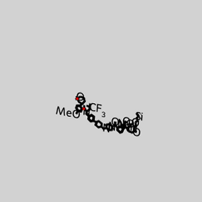 COc1ccc([C@]2(CCN(Cc3ccc(C4=CCC(CN5CCN(C(=O)c6cccc7c6n(C)c(=O)n7C6CCC(=O)N(COCC[Si](C)(C)C)C6=O)CC5)CC4)cc3)CC(C)(C)C(F)(F)F)CCOC(C)(C)C2)cc1